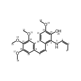 C/C=C\Nc1c(/C=C\c2cc(OC)c(OC)c(OC)c2)ccc(OC)c1O